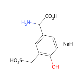 NC(C(=O)O)c1ccc(O)c(CS(=O)(=O)O)c1.[NaH]